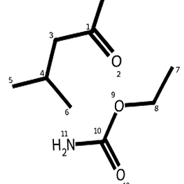 CC(=O)CC(C)C.CCOC(N)=O